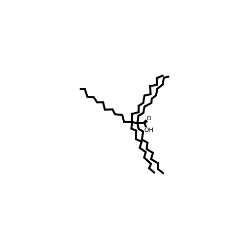 CCCCCCCCCCCC(CCCCCCCCCC)(CCCCCCCCCC)C(CCCCCCCCCC)(CCCCCCCCCC)C(=O)O